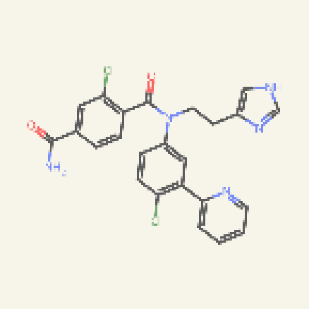 NC(=O)c1ccc(C(=O)N(CCc2c[nH]cn2)c2ccc(Cl)c(-c3ccccn3)c2)c(Cl)c1